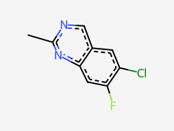 Cc1ncc2cc(Cl)c(F)cc2n1